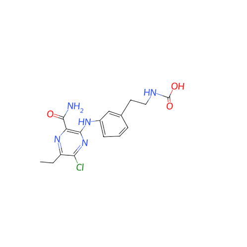 CCc1nc(C(N)=O)c(Nc2cccc(CCNC(=O)O)c2)nc1Cl